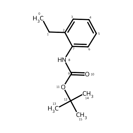 CCc1ccccc1NC(=O)OC(C)(C)C